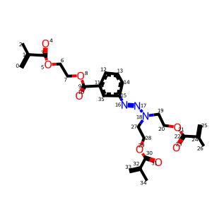 C=C(C)C(=O)OCCOC(=O)c1cccc(/N=N/N(CCOC(=O)C(=C)C)CCOC(=O)C(=C)C)c1